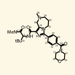 CNC(=O)C(NC(=O)c1nc(-c2ccc(C(=O)N3CCOCC3)cc2)n2c1CN(C)CCC2)C(C)(C)C